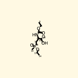 CCOC(=O)NC(CCP(C)(=O)OCC)C(=O)O